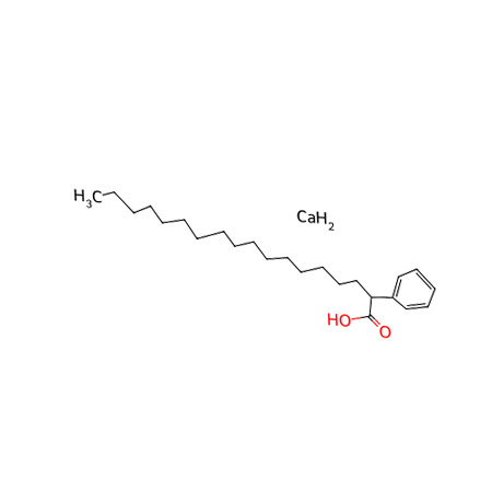 CCCCCCCCCCCCCCCCC(C(=O)O)c1ccccc1.[CaH2]